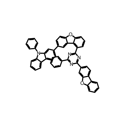 c1ccc(-c2nc(-c3ccc4c(c3)oc3ccccc34)nc(-c3cccc4oc5ccc(-c6ccc7c8ccccc8n(-c8ccccc8)c7c6)cc5c34)n2)cc1